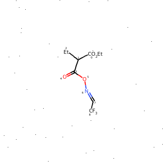 CCOC(=O)C(CC)C(=O)ON=CC(F)(F)F